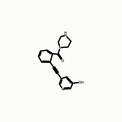 O=C(c1ccccc1C#Cc1cncc(O)c1)N1CCNCC1